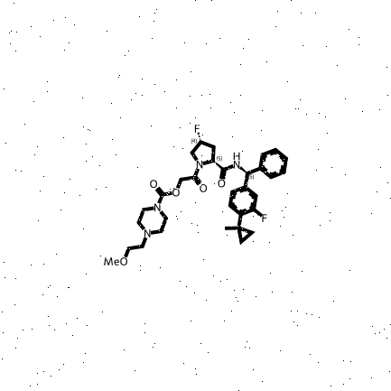 COCCN1CCN(C(=O)OCC(=O)N2C[C@H](F)C[C@H]2C(=O)N[C@@H](c2ccccc2)c2ccc(C3(C)CC3)c(F)c2)CC1